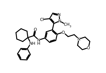 Cn1ncc(Cl)c1-c1cc(NC(=O)C2(Nc3ccccc3)CCCCC2)ccc1OCCN1CCOCC1